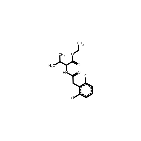 CCOC(=O)[C@@H](NC(=O)Cc1c(Cl)cccc1Cl)C(C)C